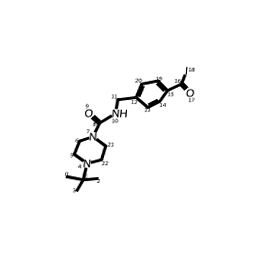 CC(C)(C)N1CCN(C(=O)NCc2ccc(C(=O)I)cc2)CC1